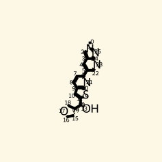 Cn1cc2cc(-c3ccc4cc([C@H](O)[C@@H]5CCOC5)sc4n3)cnc2n1